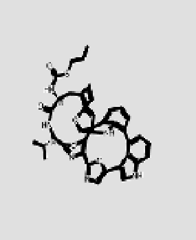 CCCSC(=O)N[C@H]1Cc2ccc3c(c2)C24c5cccc(c5NC2O3)-c2cccc3[nH]cc(c23)-c2cnc(o2)-c2nc(oc24)[C@H](C(C)C)NC1=O